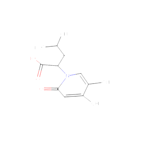 Cc1cc(=O)n(C(CC(C)C)C(=O)O)cc1C